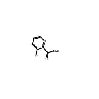 [CH2]Cc1cccnc1C(=O)OC